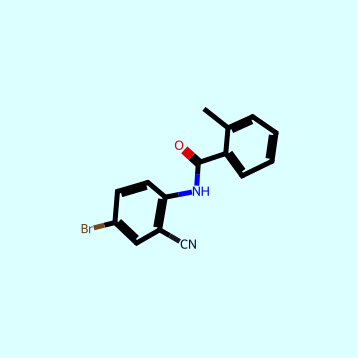 Cc1ccccc1C(=O)Nc1ccc(Br)cc1C#N